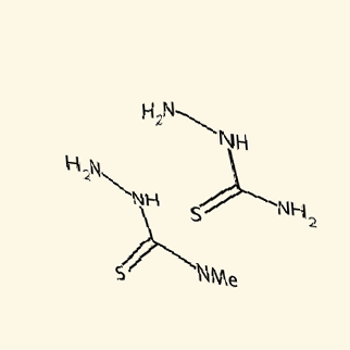 CNC(=S)NN.NNC(N)=S